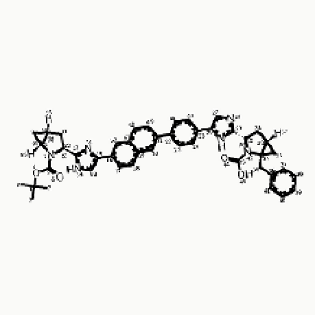 CC(C)(C)OC(=O)N1[C@@H]2C[C@@H]2C[C@H]1c1nc(-c2ccc3cc(-c4ccc(-c5cnc([C@@H]6C[C@@H]7C[C@]7(Cc7ccccc7)N6C(=O)O)[nH]5)cc4)ccc3c2)c[nH]1